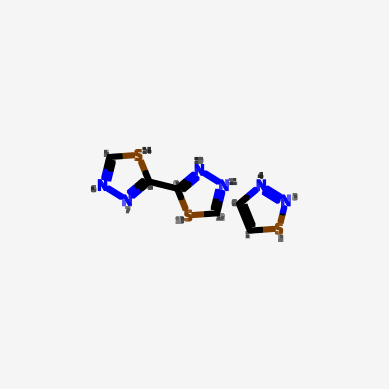 c1csnn1.c1nnc(-c2nncs2)s1